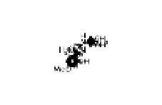 COc1ccc(-c2nnc(N[C@H]3C[C@@](C)(O)C3)nc2C)c(O)c1